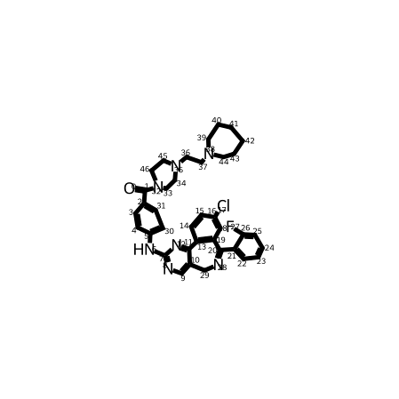 O=C(c1ccc(Nc2ncc3c(n2)-c2ccc(Cl)cc2C(c2ccccc2F)=NC3)cc1)N1CCN(CCN2CCCCCC2)CC1